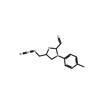 [N-]=[N+]=NCC1CN(c2ccc(I)cc2)C(C=O)O1